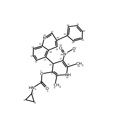 CC1=C(OC(=O)NC2CC2)C(c2cccc3ncc(-c4ccccc4)cc23)C([N+](=O)[O-])=C(C)N1